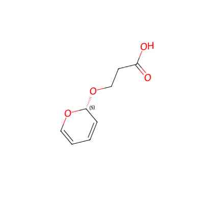 O=C(O)CCO[C@@H]1C=CC=CO1